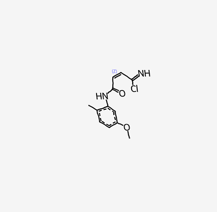 COc1ccc(C)c(NC(=O)/C=C\C(=N)Cl)c1